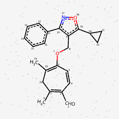 CC1=C(C=O)C=CC(OCc2c(-c3ccccc3)noc2C2CC2)=C(C)C1